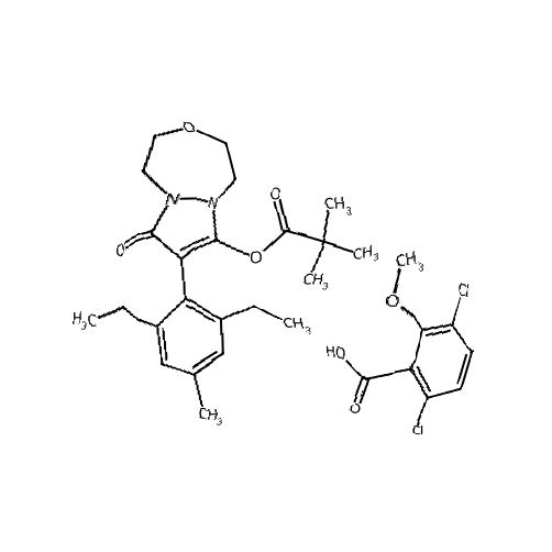 CCc1cc(C)cc(CC)c1-c1c(OC(=O)C(C)(C)C)n2n(c1=O)CCOCC2.COc1c(Cl)ccc(Cl)c1C(=O)O